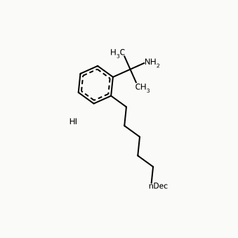 CCCCCCCCCCCCCCCc1ccccc1C(C)(C)N.I